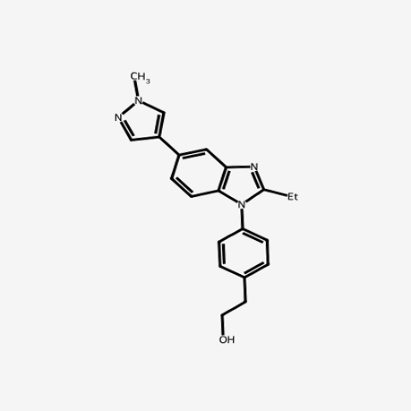 CCc1nc2cc(-c3cnn(C)c3)ccc2n1-c1ccc(CCO)cc1